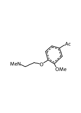 CNCCOc1ccc(C(C)=O)cc1OC